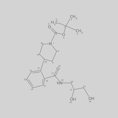 CC(C)(C)OC(=O)N1CCC(c2ccccc2C(=O)NCC(O)CO)CC1